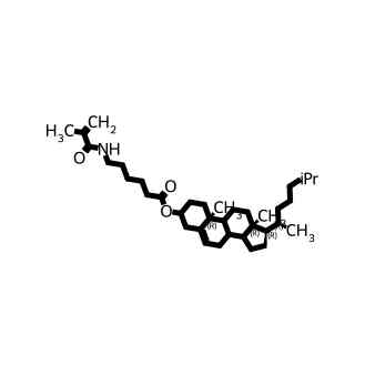 C=C(C)C(=O)NCCCCCC(=O)OC1CC[C@@]2(C)C(=CCC3C2CC[C@@]2(C)C3CC[C@@H]2[C@H](C)CCCC(C)C)C1